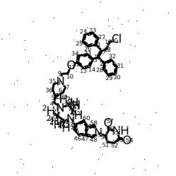 [2H]C1([2H])N(CC2CCN(CCOc3ccc(C(=C(CCCl)c4ccccc4)c4ccccc4)cc3)CC2)C([2H])([2H])C([2H])([2H])N(c2ccc3cn(C4CCC(=O)NC4=O)cc3c2)C1([2H])[2H]